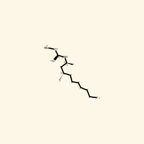 C[C@@H](CCCCCCF)C[C@H](C)NC(=O)OC(C)(C)C